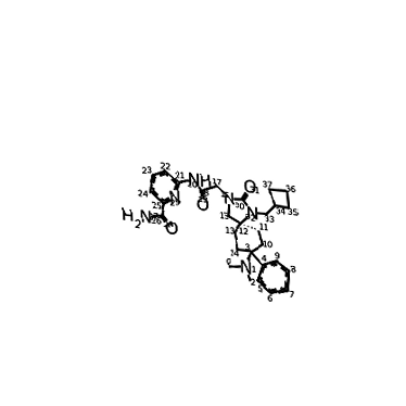 CN(C)[C@]1(c2ccccc2)CC[C@]2(CC1)CN(CC(=O)Nc1cccc(C(N)=O)n1)C(=O)N2CC1CCC1